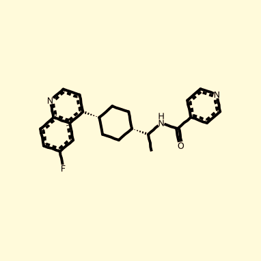 CC(NC(=O)c1ccncc1)[C@H]1CC[C@@H](c2ccnc3ccc(F)cc32)CC1